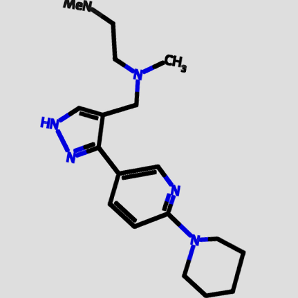 CNCCN(C)Cc1c[nH]nc1-c1ccc(N2CCCCC2)nc1